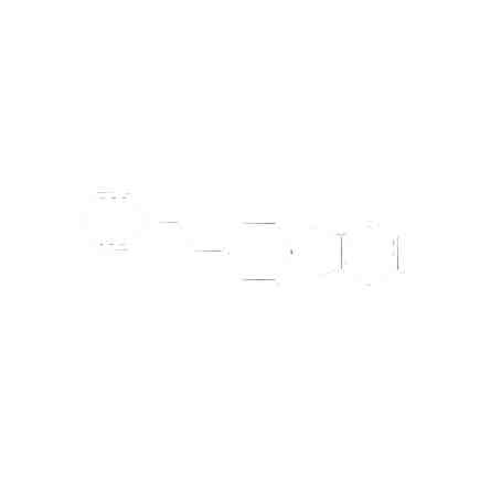 c1ccc(CCN2CCC3(CC2)Cc2ccccc2O3)cc1